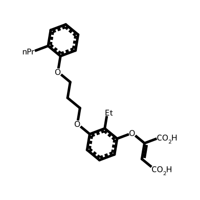 CCCc1ccccc1OCCCOc1cccc(OC(=CC(=O)O)C(=O)O)c1CC